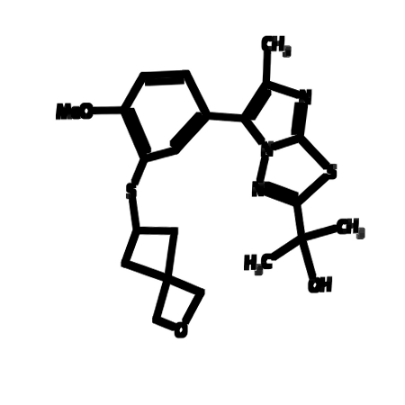 COc1ccc(-c2c(C)nc3sc(C(C)(C)O)nn23)cc1SC1CC2(COC2)C1